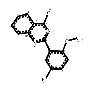 COc1ccc(Br)cc1-c1nc(Cl)c2ccccc2n1